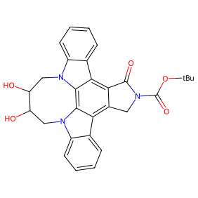 CC(C)(C)OC(=O)N1Cc2c(c3c4ccccc4n4c3c3c2c2ccccc2n3CC(O)C(O)C4)C1=O